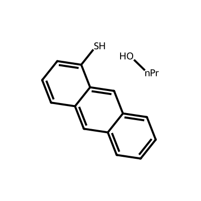 CCCO.Sc1cccc2cc3ccccc3cc12